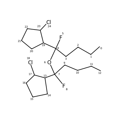 CCCCC(F)(OC(F)(CCCC)C1CCCC1Cl)C1CCCC1Cl